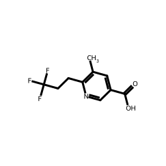 Cc1cc(C(=O)O)cnc1CCC(F)(F)F